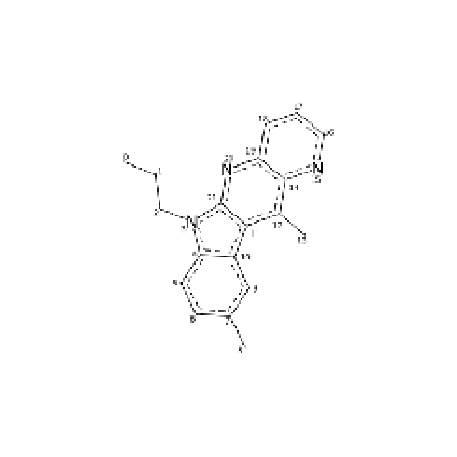 CCCn1c2ccc(C)cc2c2c(C)c3ncccc3nc21